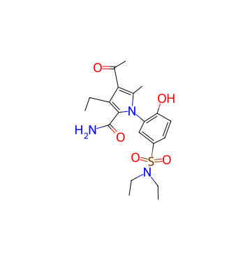 CCc1c(C(C)=O)c(C)n(-c2cc(S(=O)(=O)N(CC)CC)ccc2O)c1C(N)=O